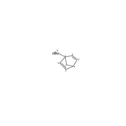 CCCCC12C=CC(C=C1)C2